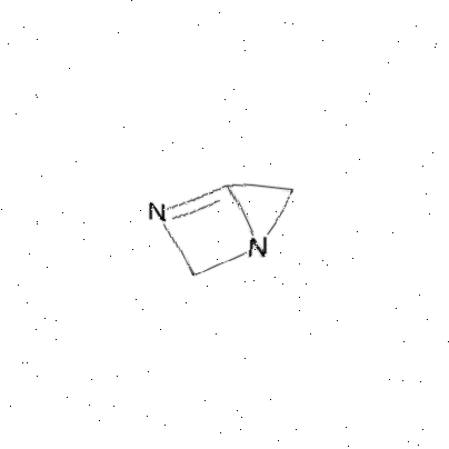 C1N=C2CN12